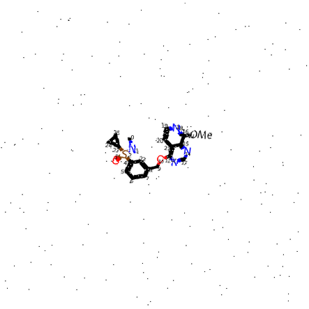 CN=S(=O)(c1cccc(COc2ncnc3c(OC)nccc23)c1)C1CC1